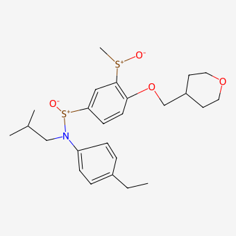 CCc1ccc(N(CC(C)C)[S+]([O-])c2ccc(OCC3CCOCC3)c([S+](C)[O-])c2)cc1